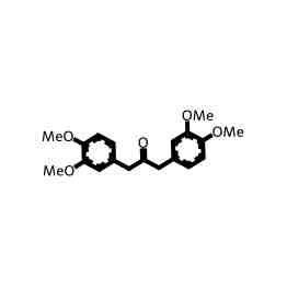 COc1ccc(CC(=O)Cc2ccc(OC)c(OC)c2)cc1OC